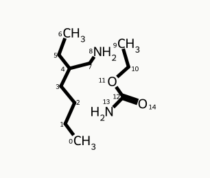 CCCCC(CC)CN.CCOC(N)=O